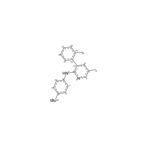 Cc1cnc(Nc2ccc(C(C)(C)C)cc2)c(-c2ccccc2C)c1